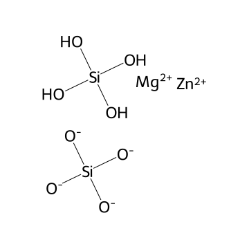 O[Si](O)(O)O.[Mg+2].[O-][Si]([O-])([O-])[O-].[Zn+2]